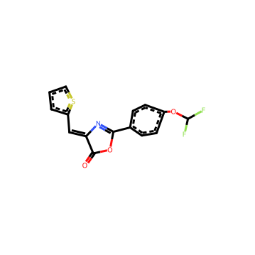 O=C1OC(c2ccc(OC(F)F)cc2)=NC1=Cc1cccs1